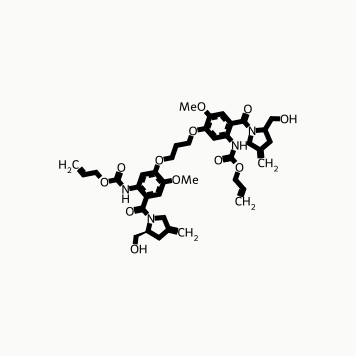 C=CCOC(=O)Nc1cc(OCCCOc2cc(NC(=O)OCC=C)c(C(=O)N3CC(=C)C[C@H]3CO)cc2OC)c(OC)cc1C(=O)N1CC(=C)CC1CO